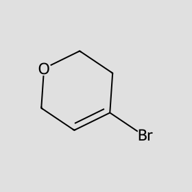 BrC1=CCOCC1